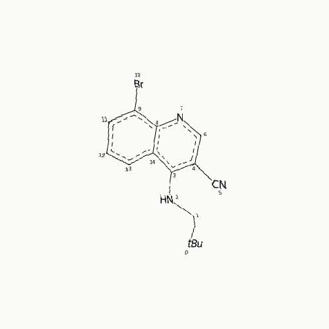 CC(C)(C)CNc1c(C#N)cnc2c(Br)cccc12